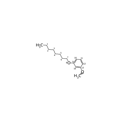 CCCCCCCCOc1cc[c]c(OC)c1